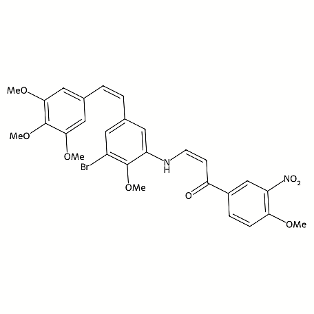 COc1ccc(C(=O)/C=C\Nc2cc(/C=C\c3cc(OC)c(OC)c(OC)c3)cc(Br)c2OC)cc1[N+](=O)[O-]